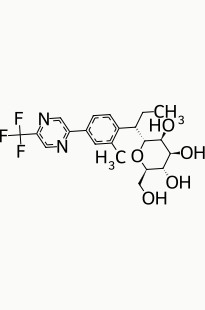 CCC(c1ccc(-c2cnc(C(F)(F)F)cn2)cc1C)[C@H]1O[C@H](CO)[C@@H](O)[C@H](O)[C@@H]1O